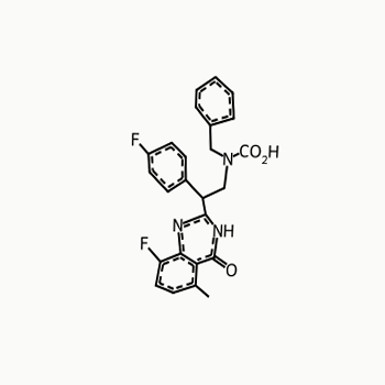 Cc1ccc(F)c2nc(C(CN(Cc3ccccc3)C(=O)O)c3ccc(F)cc3)[nH]c(=O)c12